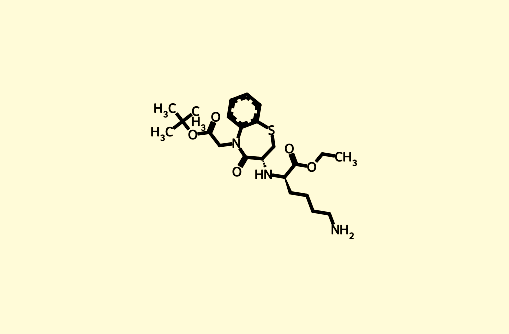 CCOC(=O)[C@@H](CCCCN)N[C@H]1CSc2ccccc2N(CC(=O)OC(C)(C)C)C1=O